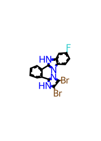 Fc1ccc2nc(-c3ccccc3-c3nc(Br)c(Br)[nH]3)[nH]c2c1